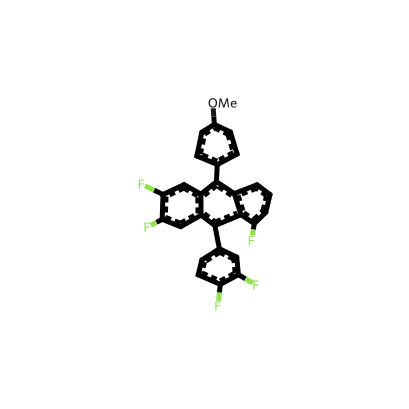 COc1ccc(-c2c3cc(F)c(F)cc3c(-c3ccc(F)c(F)c3)c3c(F)cccc23)cc1